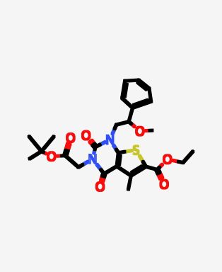 CCOC(=O)c1sc2c(c1C)c(=O)n(CC(=O)OC(C)(C)C)c(=O)n2CC(OC)c1ccccc1